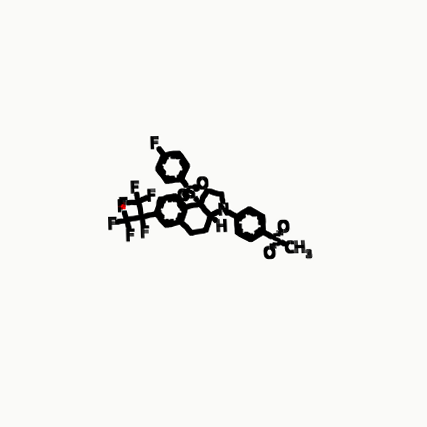 CS(=O)(=O)c1ccc(N2CC[C@@]3(S(=O)(=O)c4ccc(F)cc4)c4ccc(C(F)(C(F)(F)F)C(F)(F)F)cc4CC[C@@H]23)cc1